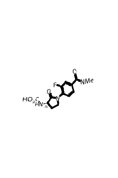 CNC(=O)c1ccc(N2CC[C@H](NC(=O)O)C2=O)c(F)c1